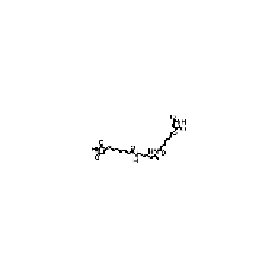 CC(CCCCNC(=O)CCCCCSC1CC(=O)NC1=O)NC(=O)CCCCCSC1CC(=O)NC1=O